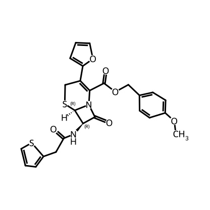 COc1ccc(COC(=O)C2=C(c3ccco3)CS[C@@H]3[C@H](NC(=O)Cc4cccs4)C(=O)N23)cc1